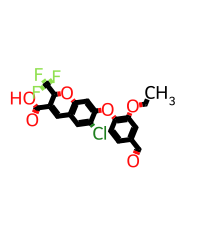 CCOc1cc(C=O)ccc1Oc1cc2c(cc1Cl)C=C(C(=O)O)C(C(F)(F)F)O2